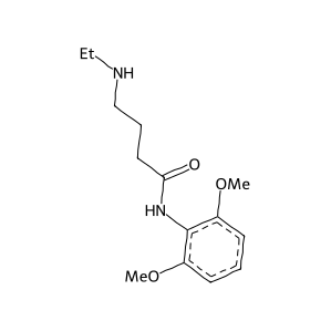 CCNCCCC(=O)Nc1c(OC)cccc1OC